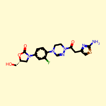 Nc1nc(CC(=O)N2CCN(c3ccc(N4C[C@H](CO)OC4=O)cc3F)C=N2)cs1